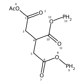 CC(=O)OC(=O)CC(CC(=O)OP)C(=O)OP